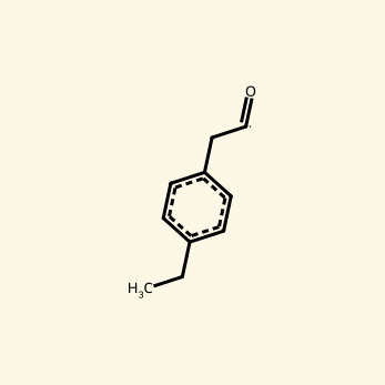 CCc1ccc(C[C]=O)cc1